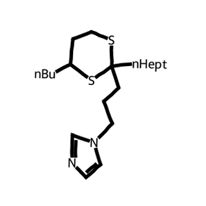 CCCCCCCC1(CCCn2ccnc2)SCCC(CCCC)S1